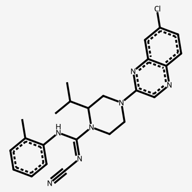 Cc1ccccc1N/C(=N\C#N)N1CCN(c2cnc3ccc(Cl)cc3n2)CC1C(C)C